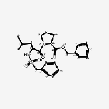 CC(C)CC(NS(=O)(=O)Cc1ccccc1)C(=O)N1CCC[C@H]1C(=O)OCc1ccccc1